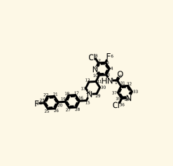 O=C(Nc1cc(F)c(Cl)nc1C1CCN(Cc2ccc(-c3ccc(F)cc3)cc2)CC1)c1ccnc(Cl)c1